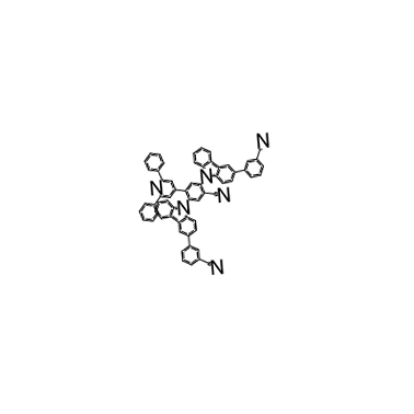 N#Cc1cccc(-c2ccc3c(c2)c2ccccc2n3-c2cc(-c3cc(-c4ccccc4)nc(-c4ccccc4)c3)c(-n3c4ccccc4c4cc(-c5cccc(C#N)c5)ccc43)cc2C#N)c1